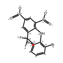 O=[N+]([O-])c1cc([N+](=O)[O-])c(Nc2c(Br)cccc2Br)c(C(F)(F)F)c1